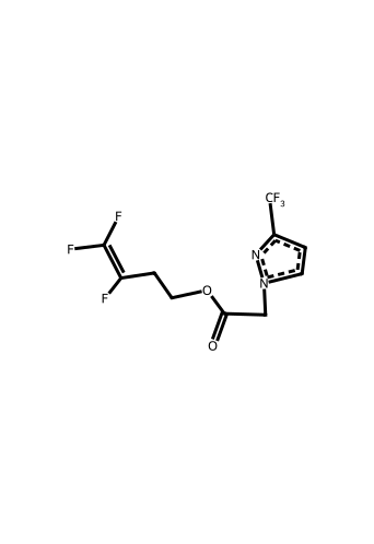 O=C(Cn1ccc(C(F)(F)F)n1)OCCC(F)=C(F)F